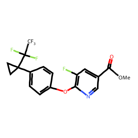 COC(=O)c1cnc(Oc2ccc(C3(C(F)(F)C(F)(F)F)CC3)cc2)c(F)c1